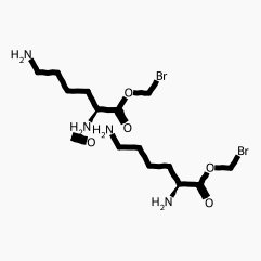 C=O.NCCCC[C@H](N)C(=O)OCBr.NCCCC[C@H](N)C(=O)OCBr